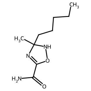 CCCCCC1(C)N=C(C(N)=O)ON1